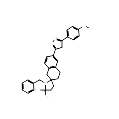 CCC1(N(Cc2ccccc2)C(C)(C)C)CCc2cc(C3=NN=C(c4ccc(OC)cc4)C3)ccc2C1